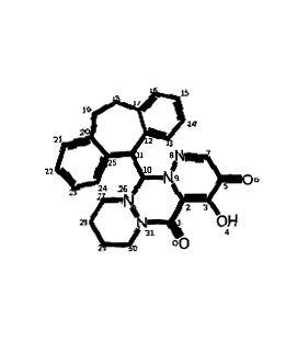 O=C1c2c(O)c(=O)cnn2C(C2c3ccccc3CCc3ccccc32)N2CCCCN12